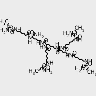 CCCP(N)OC(=O)NCCCCCC(=O)NC(CCCCNC(=O)C(CCCCNC(=O)C(CCCCNC(=O)CCCCCNC(=O)P(CCC)ON)NC(=O)CCCCCNC(=O)P(CCC)ON)NC(=O)CCCCCNC(=O)OP(N)CCC)C(N)=O